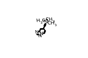 C[Si](C)(C)C#Cc1ccn2ncnc2c1